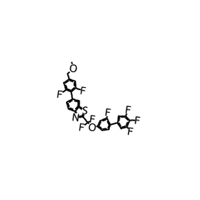 COCc1cc(F)c(-c2ccc3nc(C(F)(F)Oc4ccc(-c5cc(F)c(F)c(F)c5)c(F)c4)sc3c2)c(F)c1